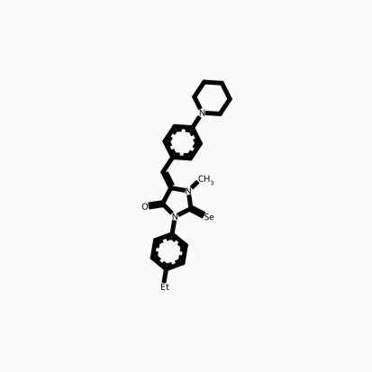 CCc1ccc(N2C(=O)C(=Cc3ccc(N4CCCCC4)cc3)N(C)C2=[Se])cc1